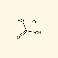 O=C(O)O.[Co]